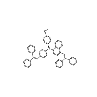 COc1ccc(N(c2ccc(C=C(c3ccccc3)c3ccccc3)cc2)c2ccc(C=C(c3ccccc3)c3ccccc3)c3ccccc23)cc1